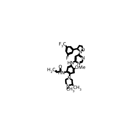 C=CC(=O)Nc1cc(Nc2cc(N3OCCC3c3cc(F)cc(C(F)(F)F)c3)ncn2)c(OC)cc1N1CCN(C)C(C)C1